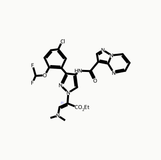 CCOC(=O)/C(=C\N(C)C)n1cc(NC(=O)c2cnn3cccnc23)c(-c2cc(Cl)ccc2OC(F)F)n1